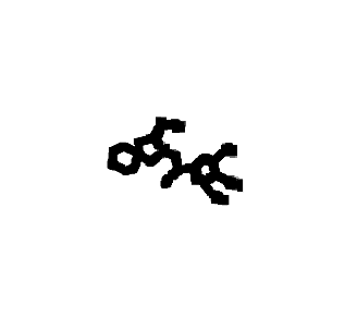 CC(C)(C)c1cc(C(=O)CN2CC3(CCOCC3)C/C2=N/Br)cc(C(C)(C)C)c1O